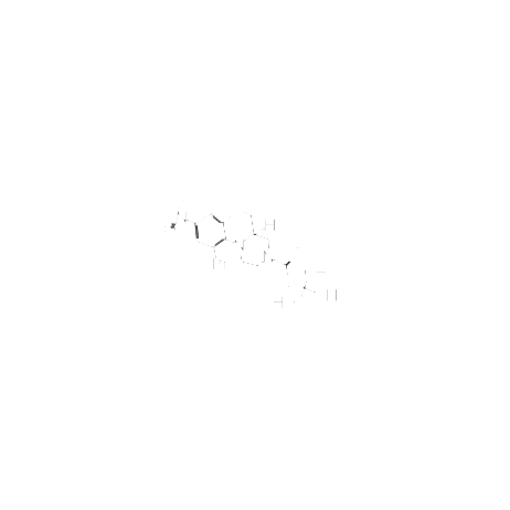 CC(C)(C)OC(=O)N1CCN2c3c(Br)cc([N+](=O)[O-])cc3OC[C@@H]2C1